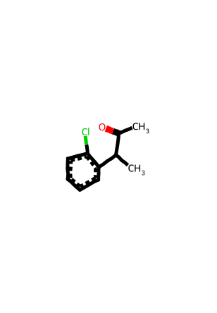 CC(=O)C(C)c1ccccc1Cl